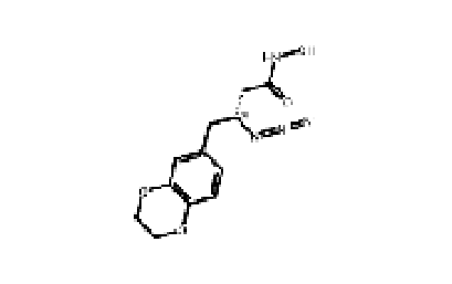 [N-]=[N+]=N[C@@H](CC(=O)NO)Cc1ccc2c(c1)OCCO2